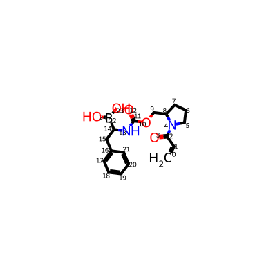 C=CC(=O)N1CCCC1COC(=O)NC(Cc1ccccc1)B(O)O